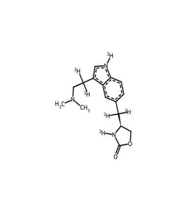 [2H]N1C(=O)OC[C@@H]1C([2H])([2H])c1ccc2c(c1)c(C([2H])([2H])CN(C)C)cn2[2H]